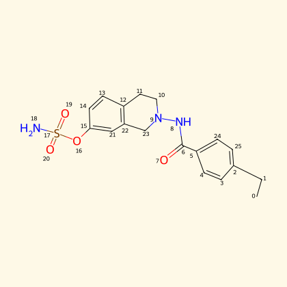 CCc1ccc(C(=O)NN2CCc3ccc(OS(N)(=O)=O)cc3C2)cc1